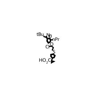 CCCc1c(OC(Cl)CCSc2ccc(C3(C(=O)O)CC3)cc2)ccc2c(CC(C)(C)C)noc12